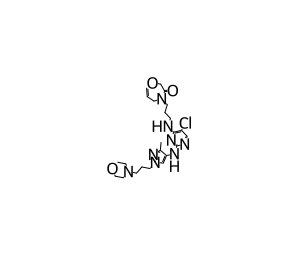 Cc1nn(CCCN2CCOCC2)cc1Nc1ncc(Cl)c(NCCCN2CC=COCC2=O)n1